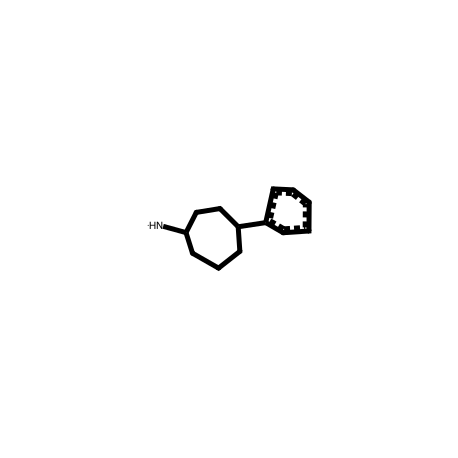 [NH]C1CCCC(c2ccccc2)CC1